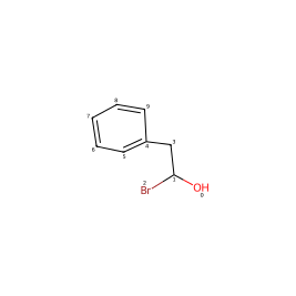 OC(Br)Cc1ccccc1